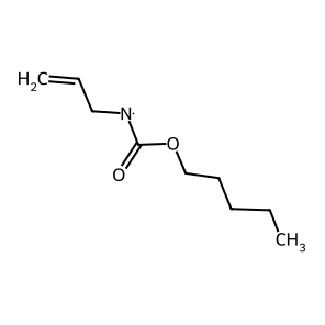 C=CC[N]C(=O)OCCCCC